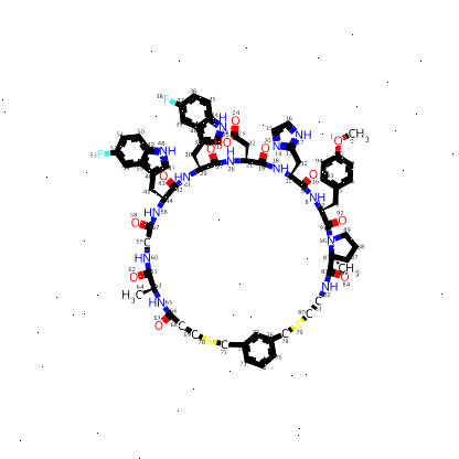 COc1ccc(C[C@@H]2NC(=O)[C@H](Cc3ncc[nH]3)NC(=O)[C@H](CC(=O)O)NC(=O)[C@H](Cc3c[nH]c4ccc(F)cc34)NC(=O)[C@H](Cc3c[nH]c4ccc(F)cc34)NC(=O)CNC(=O)[C@H](C)NC(=O)CCSCc3cccc(c3)CSCCNC(=O)[C@]3(C)CCCN3C2=O)cc1